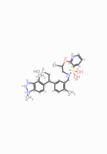 CCC1CN(Cc2cc(C(CC(=O)O)c3ccc4c(nnn4C)c3C)ccc2C)S(O)(O)c2cccnc2O1